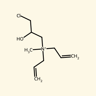 C=CC[N+](C)(CC=C)CC(O)CCl